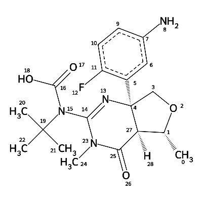 C[C@H]1OC[C@]2(c3cc(N)ccc3F)N=C(N(C(=O)O)C(C)(C)C)N(C)C(=O)[C@H]12